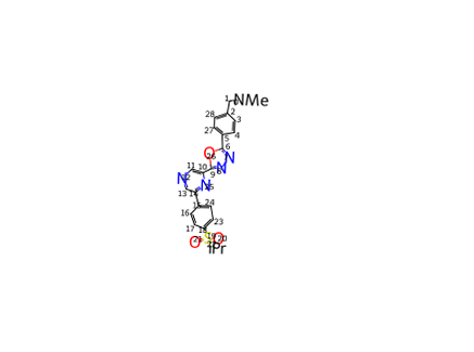 CNCc1ccc(-c2nnc(-c3cncc(-c4ccc(S(=O)(=O)C(C)C)cc4)n3)o2)cc1